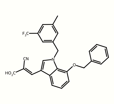 Cc1cc(Cn2cc(/C=C(\C#N)C(=O)O)c3cccc(OCc4ccccc4)c32)cc(C(F)(F)F)c1